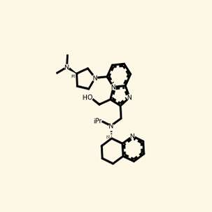 CC(C)N(Cc1nc2cccc(N3CC[C@@H](N(C)C)C3)n2c1CO)[C@H]1CCCc2cccnc21